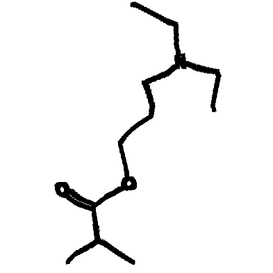 CCN(CC)CCCOC(=O)C(C)C